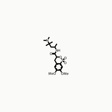 COc1cc2c(cc1OC)S(=O)(=O)OC(C(=O)NC(C)CC(C)(C)N(C)C)C2